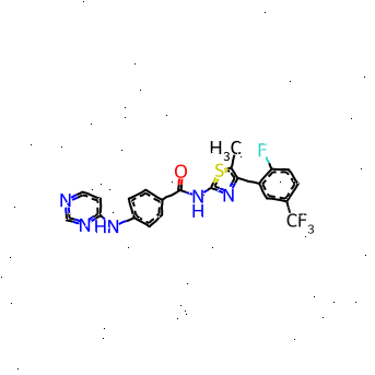 Cc1sc(NC(=O)c2ccc(Nc3ccncn3)cc2)nc1-c1cc(C(F)(F)F)ccc1F